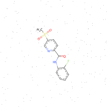 CS(=O)(=O)c1ccc(C(=O)Nc2ccccc2F)nc1